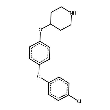 Clc1ccc(Oc2ccc(OC3CCNCC3)cc2)cc1